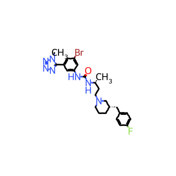 C[C@H](CCN1CCC[C@@H](Cc2ccc(F)cc2)C1)NC(=O)Nc1cc(Br)cc(-c2nnnn2C)c1